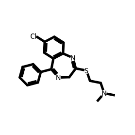 CN(C)CCSC1=Nc2ccc(Cl)cc2C(c2ccccc2)=NC1